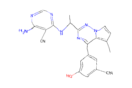 Cc1ccn2nc(C(C)Nc3ncnc(N)c3C#N)nc(-c3cc(O)cc(C#N)c3)c12